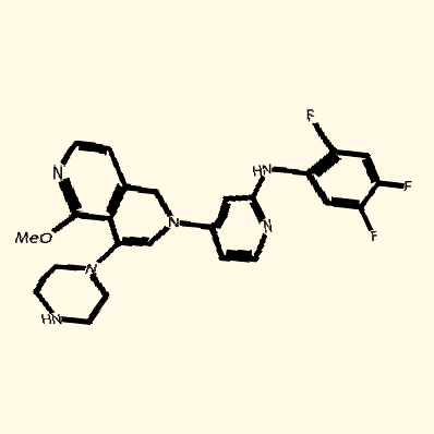 COc1nccc2c1C(N1CCNCC1)=CN(c1ccnc(Nc3cc(F)c(F)cc3F)c1)C2